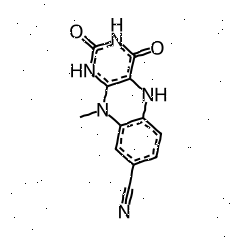 CN1c2cc(C#N)ccc2Nc2c1[nH]c(=O)[nH]c2=O